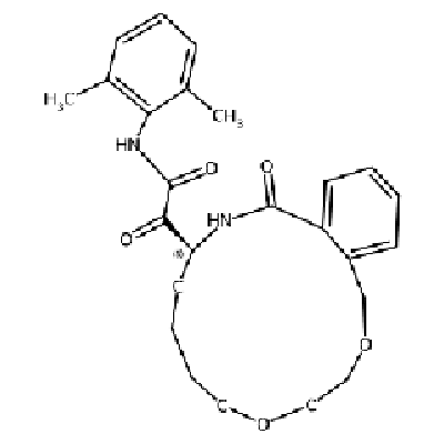 Cc1cccc(C)c1NC(=O)C(=O)[C@@H]1CCCCOCCOCc2ccccc2C(=O)N1